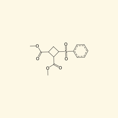 COC(=O)C1CC(S(=O)(=O)c2ccccc2)C1C(=O)OC